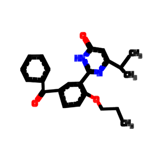 CCCOc1ccc(C(=O)c2ccccc2)cc1-c1nc(C(C)C)cc(=O)[nH]1